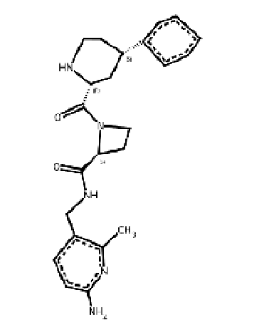 Cc1nc(N)ccc1CNC(=O)[C@@H]1CCN1C(=O)[C@H]1C[C@@H](c2ccccc2)CCN1